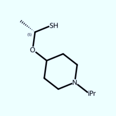 CC(C)N1CCC(O[C@H](C)S)CC1